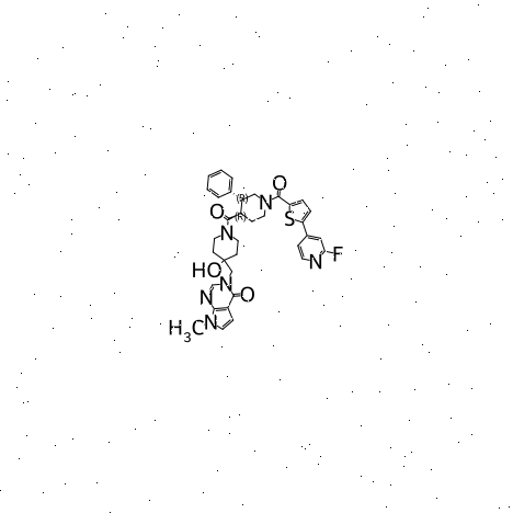 Cn1ccc2c(=O)n(CC3(O)CCN(C(=O)[C@@H]4CCN(C(=O)c5ccc(-c6ccnc(F)c6)s5)C[C@H]4c4ccccc4)CC3)cnc21